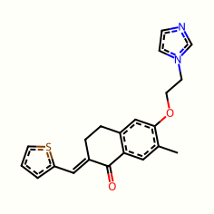 Cc1cc2c(cc1OCCn1ccnc1)CCC(=Cc1cccs1)C2=O